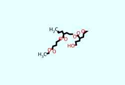 C=CCC(CCCOC(=O)C(CCCO)CC1CO1)C(=O)OCCCCC(=O)OCC